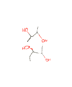 CC(O)C(C)O.CC(O)C(C)O